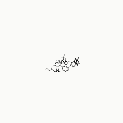 CCCC1CCC(C(N[S+]([O-])C(C)(C)C)c2cccc(-c3cnn(C)c3)c2)N(C)C1